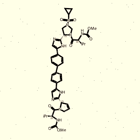 COC(=O)N[C@H](C(=O)N1CC=C[C@H]1c1ncc(-c2ccc(-c3ccc(-c4cnc([C@@H]5CN(S(=O)(=O)C6CC6)CN5C(=O)[C@@H](NC(=O)OC)C(C)C)[nH]4)cc3)cc2)[nH]1)C(C)C